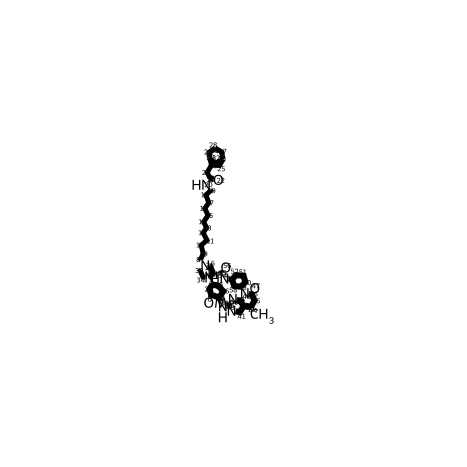 COc1cc(N2CCN(CCCCCCCCCCCCNC(=O)CC34CC5CC(CC3C5)C4)CC2)ccc1Nc1ncc2c(C)cc(=O)n(-c3cccc(NC(=O)C(C)C)c3)c2n1